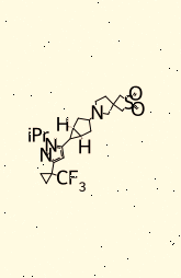 CC(C)n1nc(C2(C(F)(F)F)CC2)cc1C1[C@H]2CC(N3CCC4(C3)CS(=O)(=O)C4)C[C@@H]12